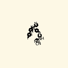 N#Cc1nccc(NC2CCN(Cc3ccc(-n4c(-c5cccnc5)nc5ccc(-c6ccc(F)cn6)nc54)cc3)CC2)n1